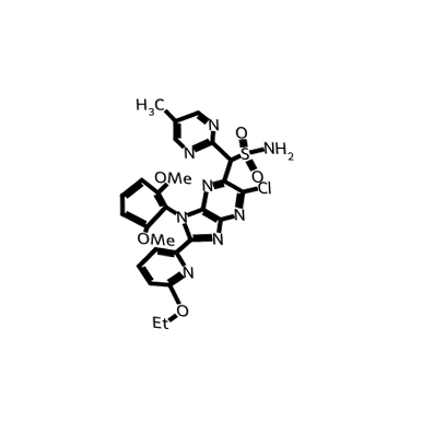 CCOc1cccc(-c2nc3nc(Cl)c(C(c4ncc(C)cn4)S(N)(=O)=O)nc3n2-c2c(OC)cccc2OC)n1